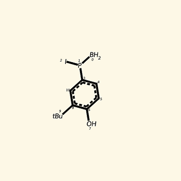 BP(I)c1ccc(O)c(C(C)(C)C)c1